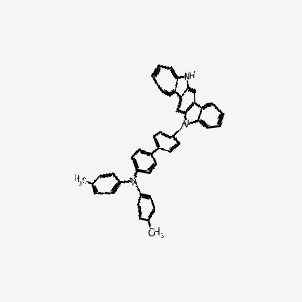 Cc1ccc(N(c2ccc(C)cc2)c2ccc(-c3ccc(-n4c5ccccc5c5cc6[nH]c7ccccc7c6cc54)cc3)cc2)cc1